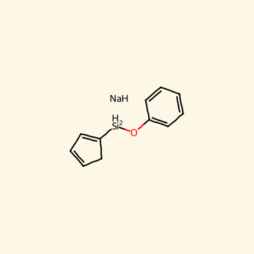 C1=CCC([SiH2]Oc2ccccc2)=C1.[NaH]